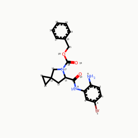 Nc1ccc(Br)cc1NC(=O)C1CC2(CC2)CN1C(=O)OCc1ccccc1